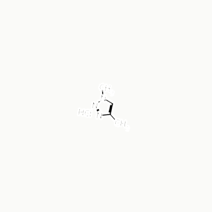 Cc1cn(C)nn1.Cl